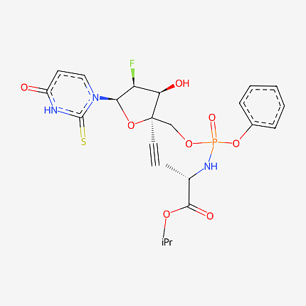 C#C[C@]1(COP(=O)(N[C@@H](C)C(=O)OC(C)C)Oc2ccccc2)O[C@@H](n2ccc(=O)[nH]c2=S)[C@@H](F)[C@H]1O